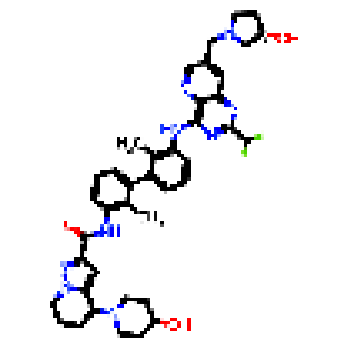 Cc1c(NC(=O)c2cc3n(n2)CCCC3N2CCC(O)CC2)cccc1-c1cccc(Nc2nc(C(F)F)nc3cc(CN4CC[C@@H](O)C4)cnc23)c1C